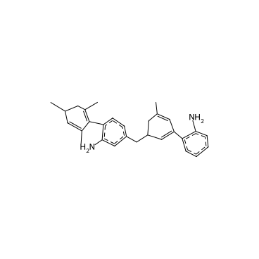 CC1=CC(c2ccccc2N)=CC(Cc2ccc(C3=C(C)CC(C)C=C3C)c(N)c2)C1